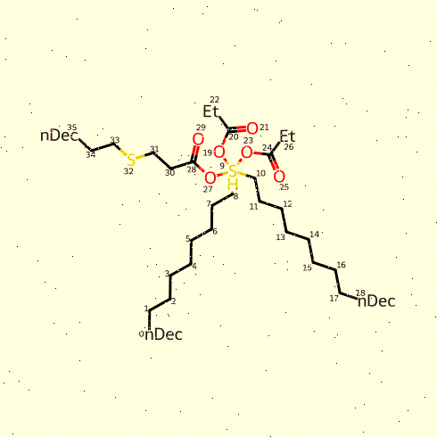 CCCCCCCCCCCCCCCCCC[SH](CCCCCCCCCCCCCCCCCC)(OC(=O)CC)(OC(=O)CC)OC(=O)CCSCCCCCCCCCCCC